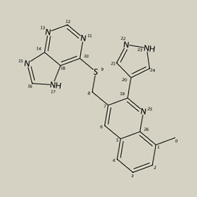 Cc1cccc2cc(CSc3ncnc4nc[nH]c34)c(-c3cn[nH]c3)nc12